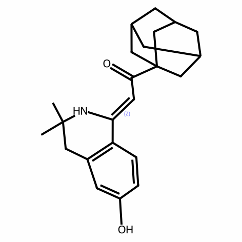 CC1(C)Cc2cc(O)ccc2/C(=C/C(=O)C23CC4CC(CC(C4)C2)C3)N1